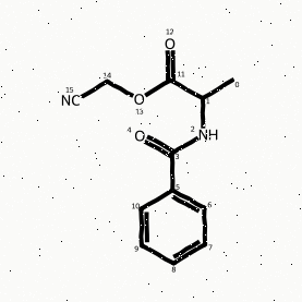 CC(NC(=O)c1ccccc1)C(=O)OCC#N